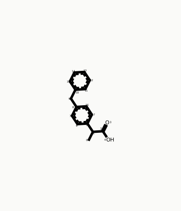 CC(C(=O)O)c1ccc(Cc2ccccc2)cc1